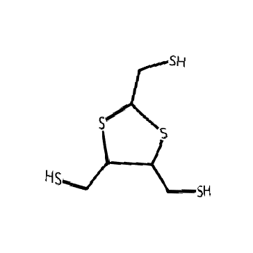 SCC1SC(CS)C(CS)S1